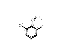 FC(F)(F)Oc1c(Cl)c[c]cc1Cl